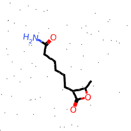 CC1OC(=O)C1CCCCCC(N)=O